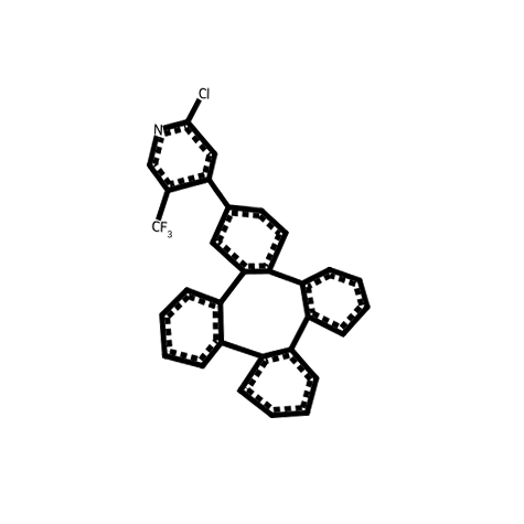 FC(F)(F)c1cnc(Cl)cc1-c1ccc2c(c1)-c1ccccc1-c1ccccc1-c1ccccc1-2